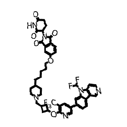 O=C1CCC(N2C(=O)c3ccc(OCCCCCC4CCN(CC5CC(Oc6ncc(-c7ccc8c9cnccc9n(C(F)F)c8c7)cc6C(F)(F)F)C5)CC4)cc3C2=O)C(=O)N1